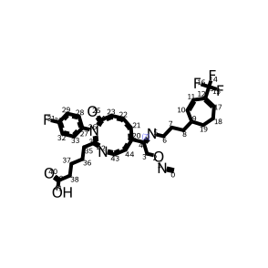 C=NOC/C(=N\CCCC1C=CC(C(F)(F)F)=CCC1)c1cccc(=O)n(-c2ccc(F)cc2)c(CCCCC(=O)O)ncc1